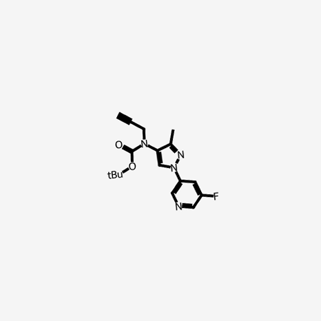 C#CCN(C(=O)OC(C)(C)C)c1cn(-c2cncc(F)c2)nc1C